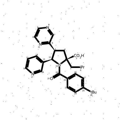 CC(C)C[C@@]1(C(=O)O)C[C@H](c2cnccn2)[C@H](c2cccnc2)N1C(=O)c1ccc(C(C)(C)C)cc1